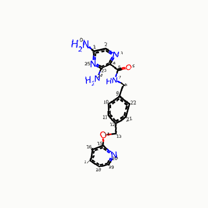 Nc1cnc(C(=O)NCc2ccc(COc3ccccn3)cc2)c(N)n1